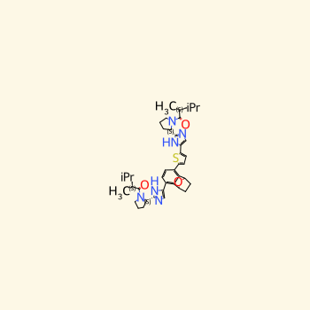 CC(C)[C@H](C)C(=O)N1CCC[C@H]1c1ncc(-c2ccc(-c3ccc(-c4cnc([C@@H]5CCCN5C(=O)[C@@H](C)C(C)C)[nH]4)c4c3C3CCC4O3)s2)[nH]1